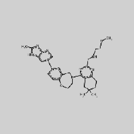 COCCNCc1nc2c(c(N3CCOc4ccc(-c5cnc6nc(C)[nH]c6c5)cc4C3)n1)CC(C)(C)CC2